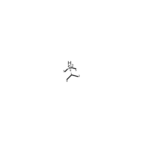 CCC.C[SiH2]C